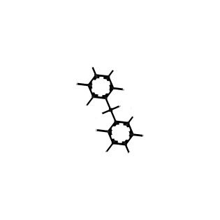 CC(C)(c1c(Cl)c(Cl)c(O)c(Cl)c1Cl)c1c(Cl)c(Cl)c(O)c(Cl)c1Cl